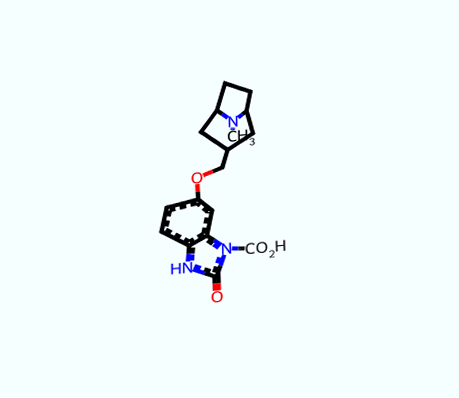 CN1C2CCC1CC(COc1ccc3[nH]c(=O)n(C(=O)O)c3c1)C2